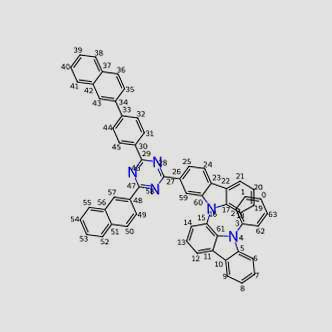 c1ccc(-n2c3ccccc3c3cccc(-n4c5ccccc5c5ccc(-c6nc(-c7ccc(-c8ccc9ccccc9c8)cc7)nc(-c7ccc8ccccc8c7)n6)cc54)c32)cc1